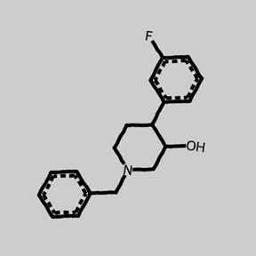 OC1CN(Cc2ccccc2)CCC1c1cccc(F)c1